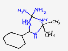 CC1(C)NC(C2CCCCC2)NC(N)(N)N1